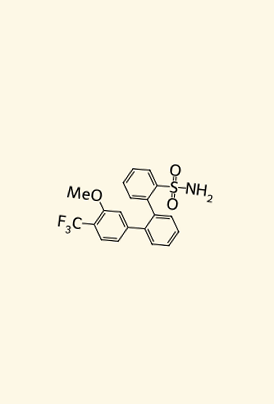 COc1cc(-c2ccccc2-c2ccccc2S(N)(=O)=O)ccc1C(F)(F)F